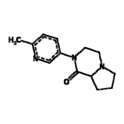 Cc1ccc(N2CCN3CCCC3C2=O)cn1